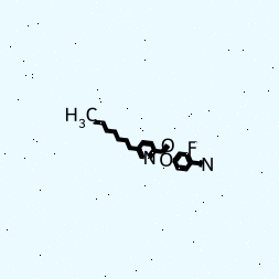 CCCCCCCCc1ccc(C(=O)Oc2ccc(C#N)c(F)c2)nc1